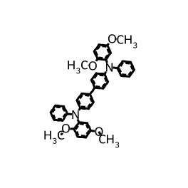 COc1ccc(OC)c(N(c2ccccc2)c2ccc(-c3ccc(N(c4ccccc4)c4cc(OC)ccc4OC)cc3)cc2)c1